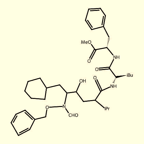 CC[C@H](C)[C@H](NC(=O)C(CC(O)C(CC1CCCCC1)N(C=O)OCc1ccccc1)C(C)C)C(=O)N[C@@H](Cc1ccccc1)C(=O)OC